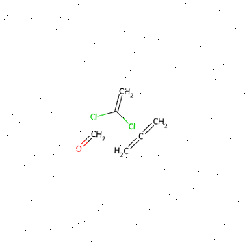 C=C(Cl)Cl.C=C=C.C=O